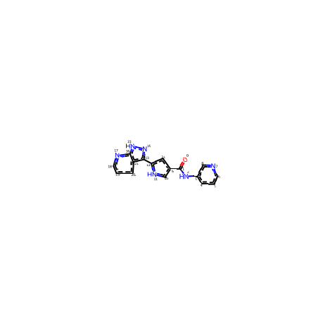 O=C(Nc1cccnc1)c1c[nH]c(-c2n[nH]c3ncccc23)c1